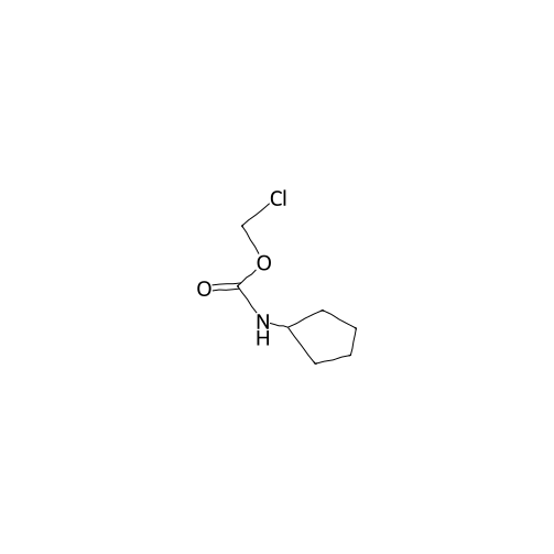 O=C(NC1CCCC1)OCCl